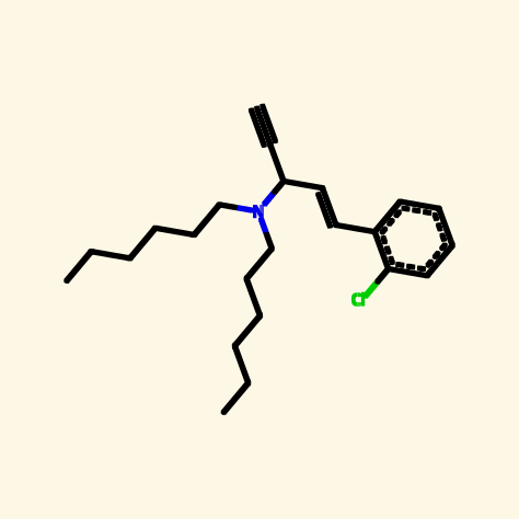 C#CC(C=Cc1ccccc1Cl)N(CCCCCC)CCCCCC